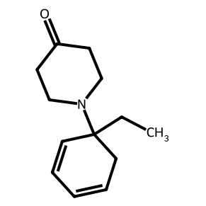 CCC1(N2CCC(=O)CC2)C=CC=CC1